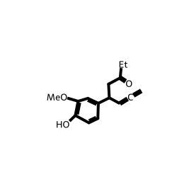 C=C=CC(CC(=O)CC)c1ccc(O)c(OC)c1